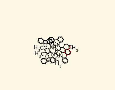 CC1=C2B3C(=C(C)N(c4ccccc4-c4ccccc4)c4c5c6c(c(c43)N1c1ccccc1-c1ccccc1)CCCC6(C)CCC5)N(c1cccc3c1oc1ccccc13)c1cc(C)c(C)cc1N2c1cccc2c1oc1ccccc12